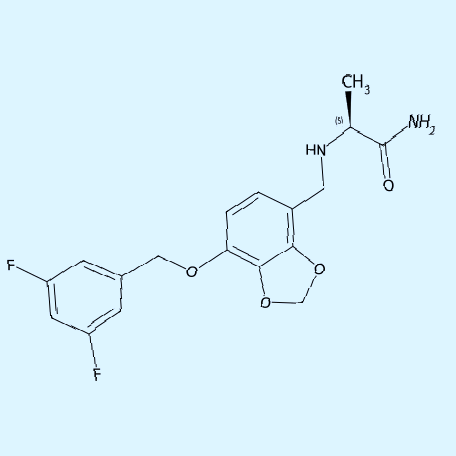 C[C@H](NCc1ccc(OCc2cc(F)cc(F)c2)c2c1OCO2)C(N)=O